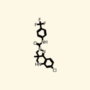 CC12CNc3cc(Cl)ccc3C1=NN(C(=O)Nc1ccc(C(F)(F)F)cc1)C2